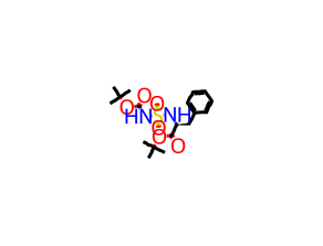 CC(C)(C)OC(=O)NS(=O)(=O)N[C@@H](Cc1ccccc1)C(=O)OC(C)(C)C